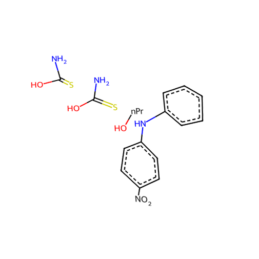 CCCO.NC(O)=S.NC(O)=S.O=[N+]([O-])c1ccc(Nc2ccccc2)cc1